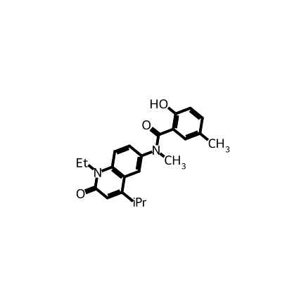 CCn1c(=O)cc(C(C)C)c2cc(N(C)C(=O)c3cc(C)ccc3O)ccc21